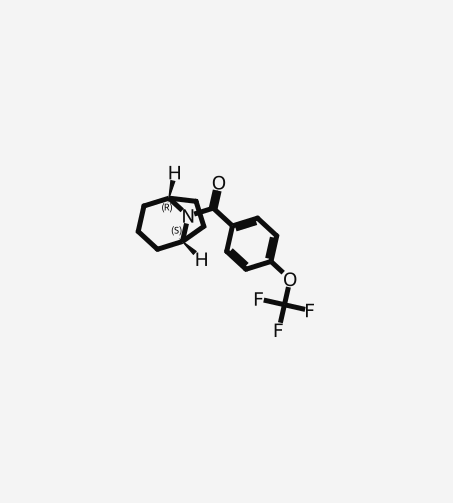 O=C(c1ccc(OC(F)(F)F)cc1)N1[C@@H]2CCC[C@H]1CC2